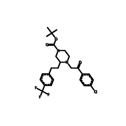 CC(C)(C)OC(=O)N1CCN(CC(=O)c2ccc(Cl)cc2)C(CCc2ccc(C(F)(F)F)cc2)C1